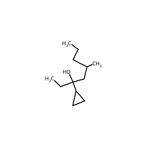 CCCC(C)CC(O)(CC)C1CC1